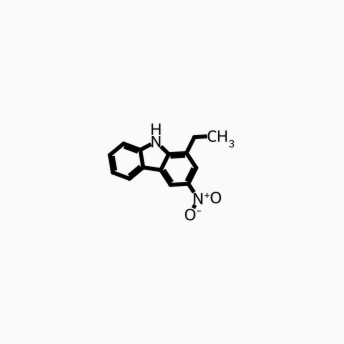 CCc1cc([N+](=O)[O-])cc2c1[nH]c1ccccc12